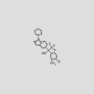 Cc1cc(C(O)(c2ccc3c(cnn3-c3ccccc3)c2)C(F)(F)F)ccc1Cl